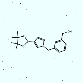 CC1(C)OB(c2cnn(Cc3cccc(CO)c3)c2)OC1(C)C